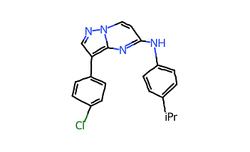 CC(C)c1ccc(Nc2ccn3ncc(-c4ccc(Cl)cc4)c3n2)cc1